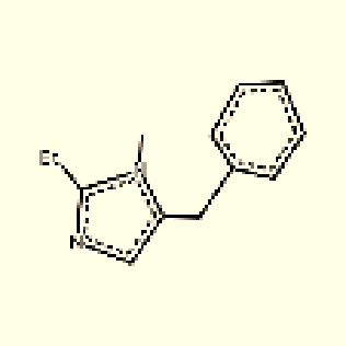 CCc1ncc(Cc2ccccc2)n1C